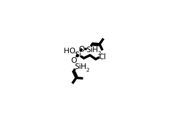 CC(C)=C[SiH2]O[Si](O)(CCCCl)O[SiH2]C=C(C)C